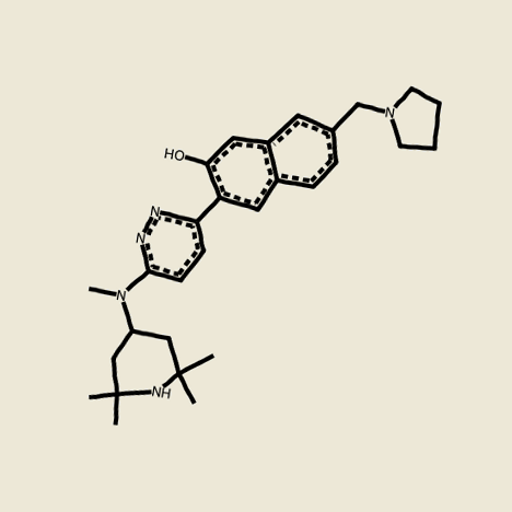 CN(c1ccc(-c2cc3ccc(CN4CCCC4)cc3cc2O)nn1)C1CC(C)(C)NC(C)(C)C1